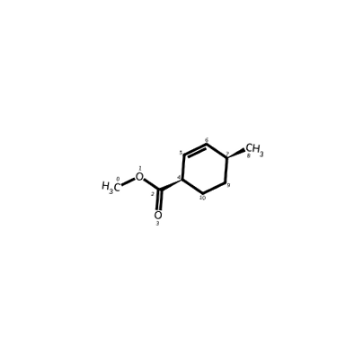 COC(=O)[C@H]1C=C[C@@H](C)CC1